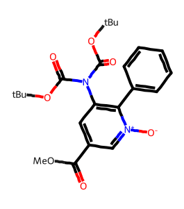 COC(=O)c1cc(N(C(=O)OC(C)(C)C)C(=O)OC(C)(C)C)c(-c2ccccc2)[n+]([O-])c1